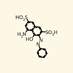 Nc1cc(S(=O)(=O)O)cc2cc(S(=O)(=O)O)c(N=Nc3ccccc3)c(O)c12